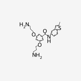 Cc1cc2cc(NC(=O)c3cc(OCCCN)cc(OCCCN)c3)ccc2s1